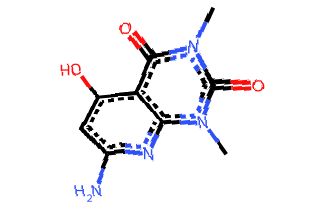 Cn1c(=O)c2c(O)cc(N)nc2n(C)c1=O